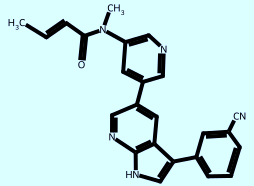 C/C=C/C(=O)N(C)c1cncc(-c2cnc3[nH]cc(-c4cccc(C#N)c4)c3c2)c1